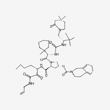 C=CCNC(=O)C(=O)C(CCCC)NC(=O)[C@@H]1C[C@@H](OC(=O)N2CCc3ccccc3C2)CN1C(=O)[C@@H](NC(=O)N[C@H](CN1CCC(C)(C)CC1=O)C(C)(C)C)C1(C)CCCCC1